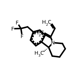 C=CC(=C)N1CCCC[C@@]1(C)c1ccc(CC(F)(F)F)cc1